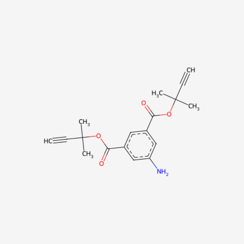 C#CC(C)(C)OC(=O)c1cc(N)cc(C(=O)OC(C)(C)C#C)c1